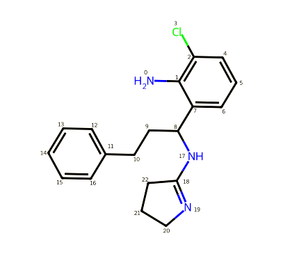 Nc1c(Cl)cccc1C(CCc1ccccc1)NC1=NCCC1